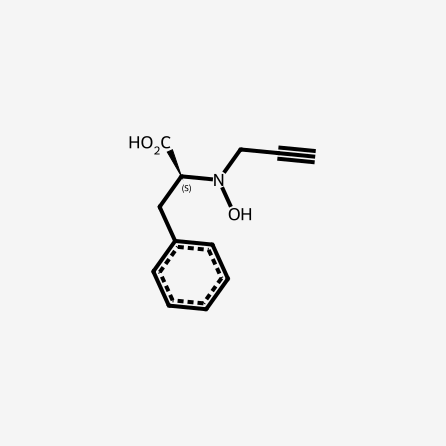 C#CCN(O)[C@@H](Cc1ccccc1)C(=O)O